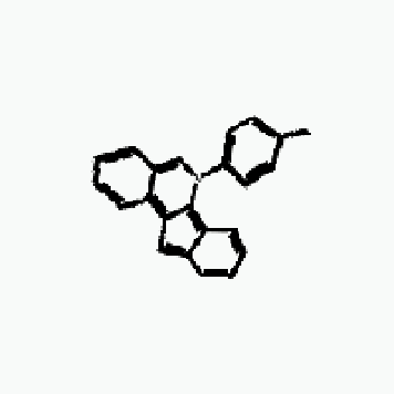 Cc1ccc(-n2cc3ccccc3c3cc4ccccc4c2-3)cc1